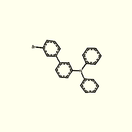 Brc1cccc(-c2cccc(N(c3ccccc3)c3ccccc3)c2)c1